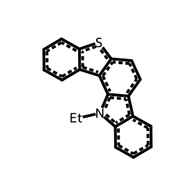 CCn1c2ccccc2c2ccc3sc4ccccc4c3c21